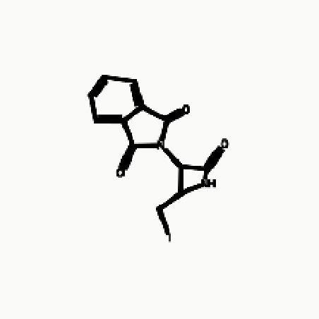 O=C1NC(CI)C1N1C(=O)c2ccccc2C1=O